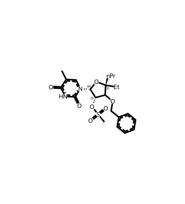 CCC[C@]1(CC)O[C@@H](n2cc(C)c(=O)[nH]c2=O)[C@@H](OS(C)(=O)=O)C1OCc1ccccc1